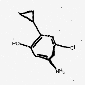 Nc1cc(O)c(C2CC2)cc1Cl